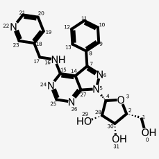 OC[C@H]1O[C@@H](n2nc(-c3ccccc3)c3c(NCc4cccnc4)ncnc32)[C@@H](O)[C@H]1O